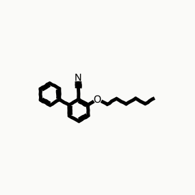 CCCCCCOc1cccc(-c2ccccc2)c1C#N